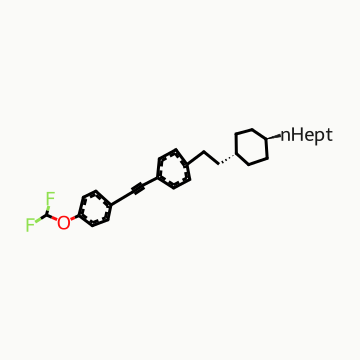 CCCCCCC[C@H]1CC[C@H](CCc2ccc(C#Cc3ccc(OC(F)F)cc3)cc2)CC1